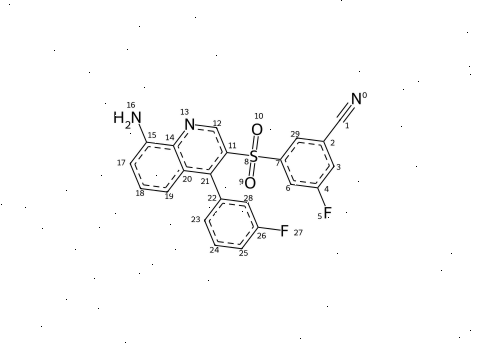 N#Cc1cc(F)cc(S(=O)(=O)c2cnc3c(N)cccc3c2-c2cccc(F)c2)c1